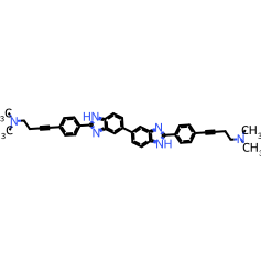 CN(C)CCC#Cc1ccc(-c2nc3cc(-c4ccc5[nH]c(-c6ccc(C#CCCN(C)C)cc6)nc5c4)ccc3[nH]2)cc1